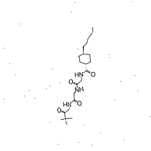 CCCCC[C@H]1CC[C@H](C(=O)NCC(=O)NCC(=O)NCC(=O)C(C)(C)C)CC1